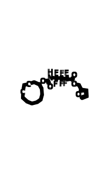 O=C(NC(F)(F)C(F)(F)C(F)(F)C(=O)OCc1ccco1)OC1CCCCCCCCCCC1